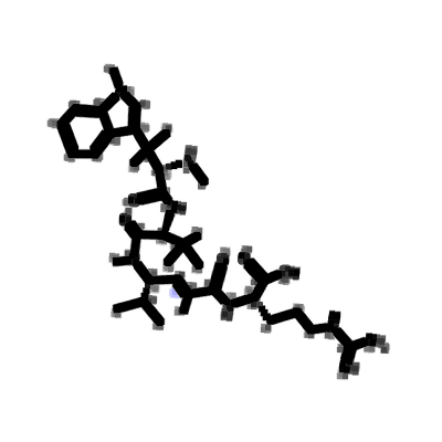 CN[C@H](C(=O)N[C@H](C(=O)N(C)[C@H](/C=C(\C)C(=O)N[C@@H](CCCNC(=N)N)C(=O)O)C(C)C)C(C)(C)C)C(C)(C)c1cn(C)c2ccccc12